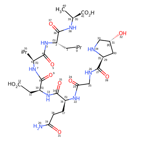 CC(C)C[C@H](NC(=O)[C@@H](NC(=O)[C@H](CC(=O)O)NC(=O)[C@H](CCC(N)=O)NC(=O)CNC(=O)[C@@H]1C[C@@H](O)CN1)C(C)C)C(=O)N[C@@H](C)C(=O)O